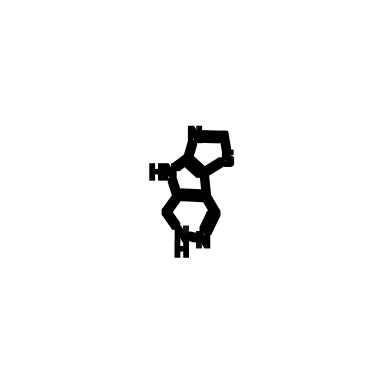 C1=NNCc2[nH]c3ncsc3c21